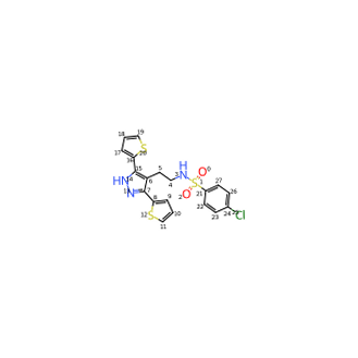 O=S(=O)(NCCc1c(-c2cccs2)n[nH]c1-c1cccs1)c1ccc(Cl)cc1